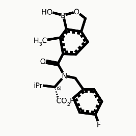 Cc1c(C(=O)N(Cc2ccc(F)cc2)[C@H](C(=O)O)C(C)C)ccc2c1B(O)OC2